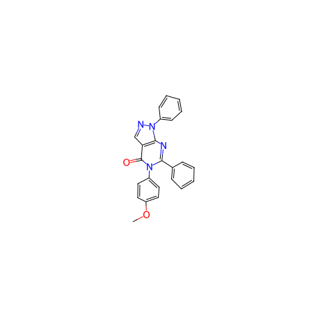 COc1ccc(-n2c(-c3ccccc3)nc3c(cnn3-c3ccccc3)c2=O)cc1